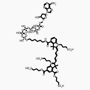 CC1(C)C(/C=C/C=C/C=C2/N(CCCS(=O)(=O)O)c3cccc(C(=O)NCCCCCCOP(=O)(O)OP(=O)(O)OP(=O)(O)OP(=O)(O)OP(=O)(O)OP(=O)(O)OC[C@H]4O[C@@H](n5cnc6c(N)ncnc65)CC4O)c3C2(C)C)=[N+](CCCS(=O)(=O)O)c2cc(C(=O)OCCCS(=O)(=O)O)cc(C(=O)OCCCS(=O)(=O)O)c21